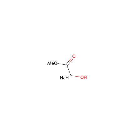 COC(=O)CO.[NaH]